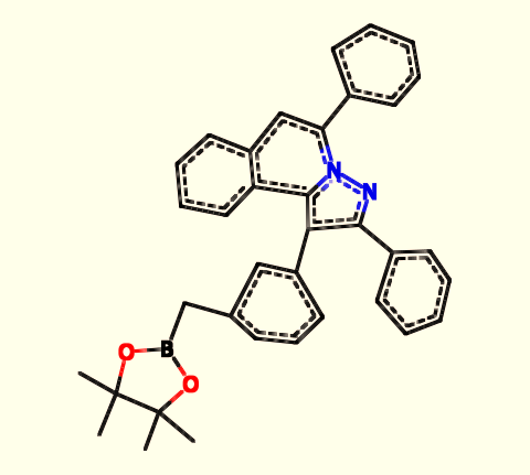 CC1(C)OB(Cc2cccc(-c3c(-c4ccccc4)nn4c(-c5ccccc5)cc5ccccc5c34)c2)OC1(C)C